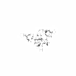 COc1cccc(-c2nnc(NS(=O)(=O)[C@@H](C)[C@H](OC)c3ncc(Cl)cn3)n2[C@H](C)[C@@H]2CNCCO2)n1